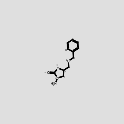 NN1CC(COCc2ccccc2)OC1=O